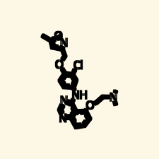 Cc1cc(COc2ccc(Nc3ncnc4cccc(OCCN(C)C)c34)cc2Cl)no1